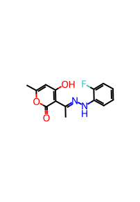 C/C(=N\Nc1ccccc1F)c1c(O)cc(C)oc1=O